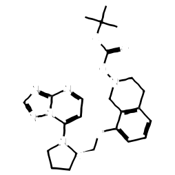 CC(C)(C)OC(=O)ON1CCc2cccc(OC[C@H]3CCCN3c3ccnc4ncnn34)c2C1